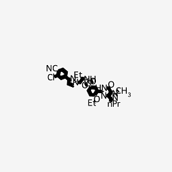 CCCc1nn(C)c2c(=O)[nH]c(-c3cc(S(=O)(=O)N[C@@H](CC)Cn4ccc(-c5ccc(C#N)c(Cl)c5)n4)ccc3OCC)nc12